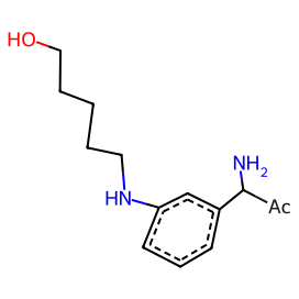 CC(=O)C(N)c1cccc(NCCCCCO)c1